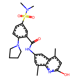 Cc1cc(O)nc2c(C)cc(NC(=O)c3cc(S(=O)(=O)N(C)C)ccc3N3CCCC3)cc12